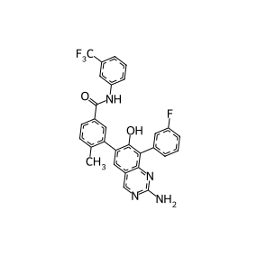 Cc1ccc(C(=O)Nc2cccc(C(F)(F)F)c2)cc1-c1cc2cnc(N)nc2c(-c2cccc(F)c2)c1O